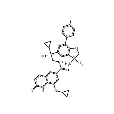 N[C@@]1(C(F)(F)F)COc2c1cc([C@@](O)(CNC(=O)c1cc(OC3CC3)c3[nH]c(=O)ccc3c1)C1CC1)nc2-c1ccc(F)cc1